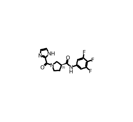 O=C(Nc1cc(F)c(F)c(F)c1)[C@H]1CCN(C(=O)c2ncc[nH]2)C1